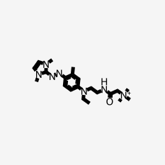 CCN(CCNC(=O)C[N+](C)(C)C)c1ccc(N=NC2N(C)C=CN2C)c(C)c1